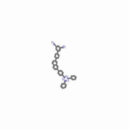 N#Cc1cc(C#N)cc(-c2ccc(-c3ccc4ccc(-c5ccc(-c6nc(-c7ccccc7)nc(-c7ccccc7)n6)cc5)cc4c3)cc2)c1